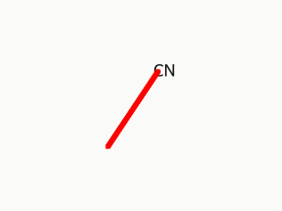 C#CC#CC#CC#CC#CC#CC#CC#CC#CC#CC#CC#CC#CC#CC#CC#CC#CC#CC#CC#CC#CC#CC#CC#CC#CC#CC#CC#CC#CC#CC#CC#CC#CC#CC#CC#CC#CC#CC#CC#CC#CC#CC#CC#CC#CC#CC#CC#CC#CC#CC#CC#CC#CC#CC#CC#CC#CC#CC#N